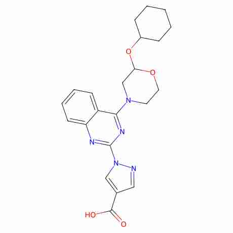 O=C(O)c1cnn(-c2nc(N3CCOC(OC4CCCCC4)C3)c3ccccc3n2)c1